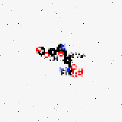 CCC(CO)(CO)NC(=O)c1ccc(-c2cc3nccc(-c4ccc(OC5CCOCC5)c(C#N)c4)c3o2)c(OC)c1